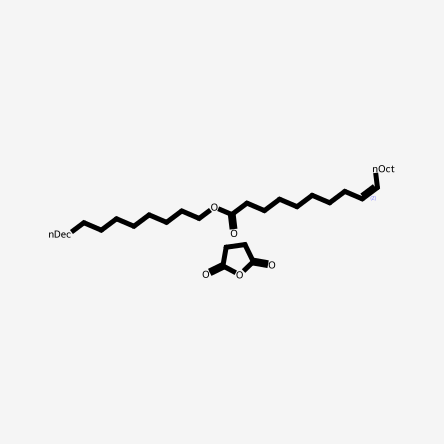 CCCCCCCC/C=C\CCCCCCCC(=O)OCCCCCCCCCCCCCCCCCC.O=C1CCC(=O)O1